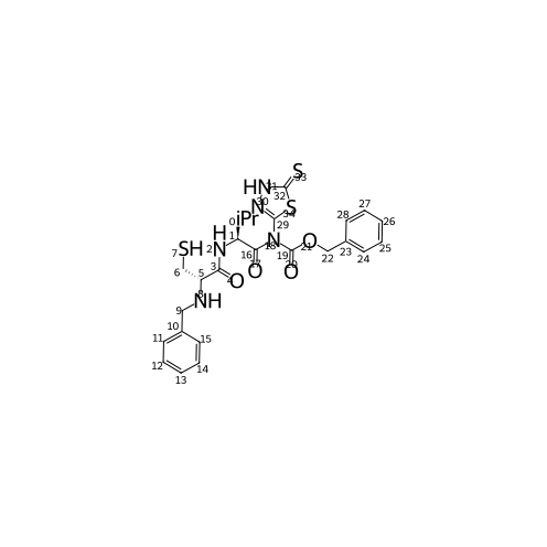 CC(C)[C@H](NC(=O)[C@@H](CS)NCc1ccccc1)C(=O)N(C(=O)OCc1ccccc1)c1n[nH]c(=S)s1